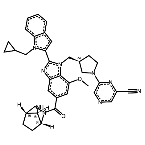 COc1cc(C(=O)N2C[C@H]3CC[C@@H]2[C@@H]3N)cc2nc(-c3cc4ccccc4n3CC3CC3)n(C[C@H]3CCN(c4cncc(C#N)n4)C3)c12